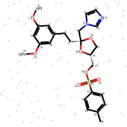 CCCOc1cc(CC[C@]2(Cn3ccnc3)OC[C@H](COS(=O)(=O)c3ccc(C)cc3)O2)cc(OCCC)c1